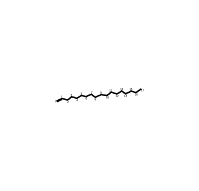 C=CCCCCCCCCCCCCCCCC